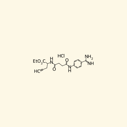 C#CCC(NC(=O)CCC(=O)Nc1ccc(C(=N)N)cc1)C(=O)OCC.Cl